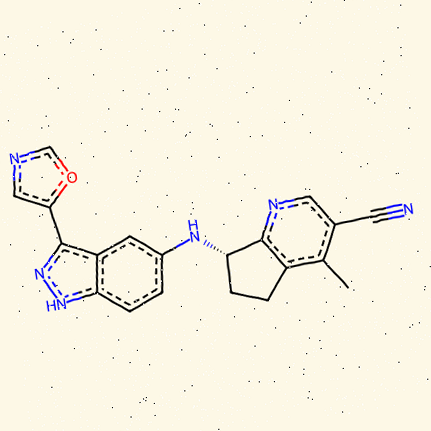 Cc1c(C#N)cnc2c1CC[C@@H]2Nc1ccc2[nH]nc(-c3cnco3)c2c1